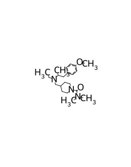 CCN(CC1CCN(C(=O)N(C)C)CC1)C(C)Cc1ccc(OC)cc1